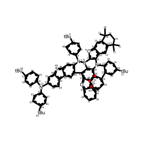 CC(C)(C)c1ccc(N2B3c4oc5cc6c(cc5c4N(c4ccc(C(C)(C)C)cc4-c4ccccc4)c4cc5c(oc7ccccc75)c(c43)-c3cc4c(cc32)sc2cc(N(c3ccc(C(C)(C)C)cc3)c3ccc(C(C)(C)C)cc3)ccc24)C(C)(C)CCC6(C)C)cc1